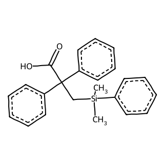 C[Si](C)(CC(C(=O)O)(c1ccccc1)c1ccccc1)c1ccccc1